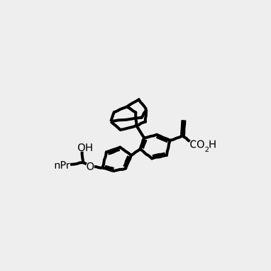 C=C(C(=O)O)c1ccc(-c2ccc(OC(O)CCC)cc2)c(C23CC4CC(CC(C4)C2)C3)c1